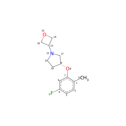 Cc1ccc(F)cc1O[C@@H]1CCN(C2COC2)C1